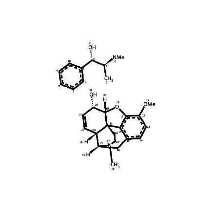 CN[C@@H](C)[C@@H](O)c1ccccc1.COc1ccc2c3c1O[C@H]1[C@@H](O)C=C[C@H]4[C@@H](C2)N(C)CC[C@@]341